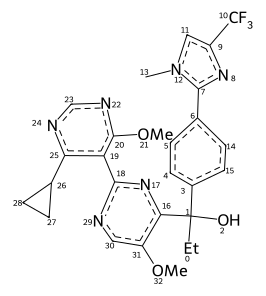 CCC(O)(c1ccc(-c2nc(C(F)(F)F)cn2C)cc1)c1nc(-c2c(OC)ncnc2C2CC2)ncc1OC